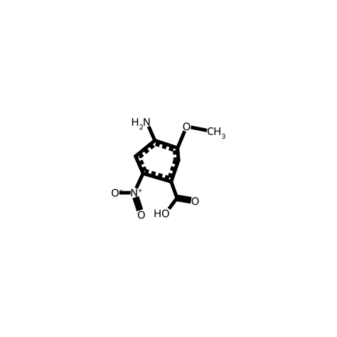 COc1cc(C(=O)O)c([N+](=O)[O-])cc1N